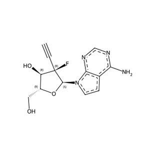 C#C[C@@]1(F)[C@H](O)[C@@H](CO)O[C@@H]1n1ccc2c(N)ncnc21